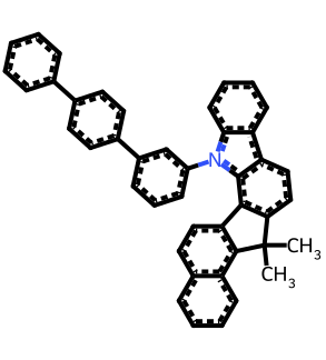 CC1(C)c2ccc3c4ccccc4n(-c4cccc(-c5ccc(-c6ccccc6)cc5)c4)c3c2-c2ccc3ccccc3c21